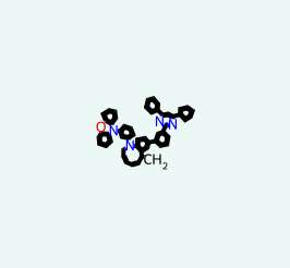 C=C1/C=C\C=C/CN(c2cccc(N3c4ccccc4Oc4ccccc43)c2)c2ccc(-c3cccc(-c4nc(-c5ccccc5)cc(-c5ccccc5)n4)c3)cc21